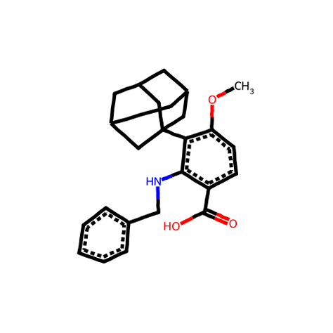 COc1ccc(C(=O)O)c(NCc2ccccc2)c1C12CC3CC(CC(C3)C1)C2